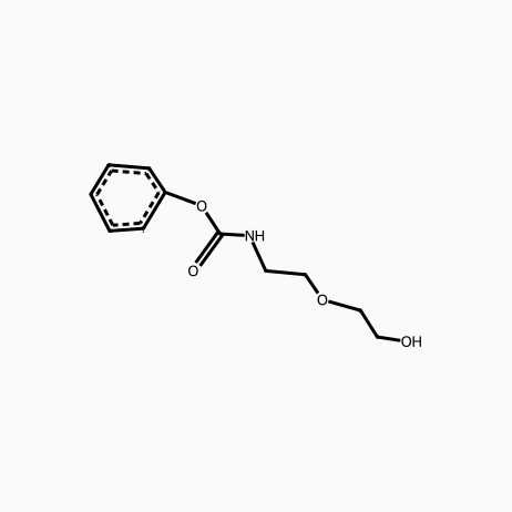 O=C(NCCOCCO)Oc1[c]cccc1